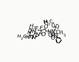 CCOC(=O)[C@H](C)N[P@@](=O)(OC[C@H]1O[C@@H](n2cnc3c(NC)nc(N)nc32)[C@@](F)(CF)[C@@H]1O)Oc1ccccc1